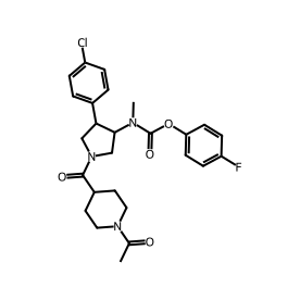 CC(=O)N1CCC(C(=O)N2CC(c3ccc(Cl)cc3)C(N(C)C(=O)Oc3ccc(F)cc3)C2)CC1